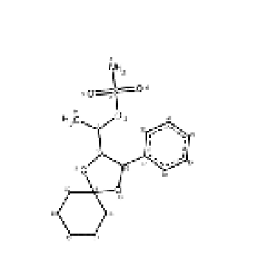 CC(OS(N)(=O)=O)C1OC2(CCCCC2)OC1c1ccccc1